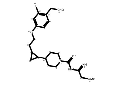 COCC(=N)NC(=O)N1CCC([C@H]2CC2CCOc2ccc(CC=O)c(F)c2)CC1